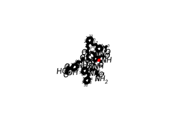 Cn1c(=O)n(C2CCC(=O)NC2=O)c2ccc(CCc3ccccc3CCC(=O)N3CC[C@H]4CC[C@@H](C(=O)N[C@@H](CCC(N)=O)C(=O)NC(c5ccccc5)c5ccccc5)N4C(=O)[C@@H](NC(=O)c4cc5cc(C(=O)P(=O)(O)O)ccc5[nH]4)C3)cc21